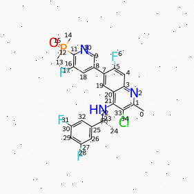 Cc1nc2cc(F)c(-c3cnc(P(C)(C)=O)c(F)c3)cc2c(N[C@H](C)c2cc(F)cc(F)c2)c1Cl